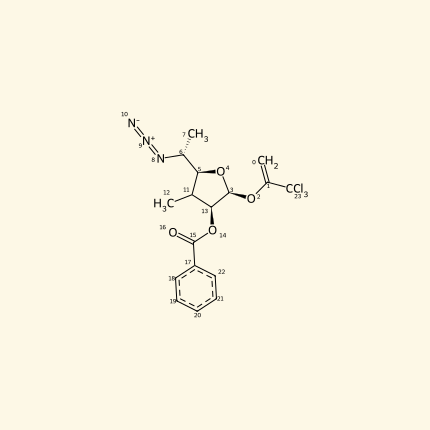 C=C(O[C@@H]1O[C@H]([C@@H](C)N=[N+]=[N-])C(C)[C@@H]1OC(=O)c1ccccc1)C(Cl)(Cl)Cl